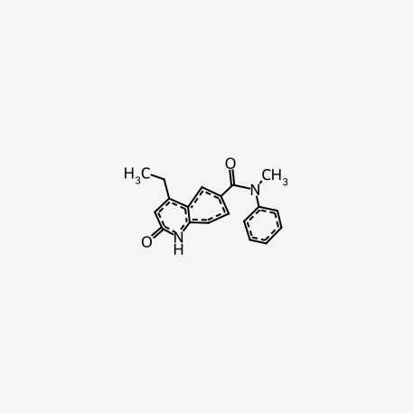 CCc1cc(=O)[nH]c2ccc(C(=O)N(C)c3ccccc3)cc12